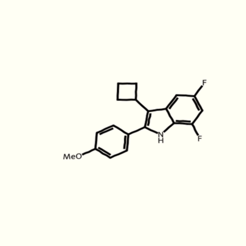 COc1ccc(-c2[nH]c3c(F)cc(F)cc3c2C2CCC2)cc1